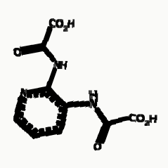 O=C(O)C(=O)Nc1cccnc1NC(=O)C(=O)O